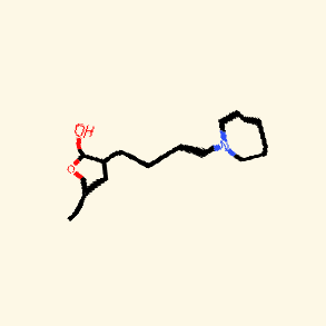 CC1CC(CCCCN2CCCCC2)C(O)O1